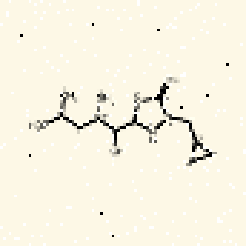 CC(C)C[C@H](N)C(O)C1NN(CC2CC2)C(=O)O1